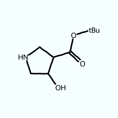 CC(C)(C)OC(=O)C1CNCC1O